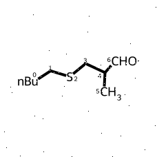 CCCCCSCC(C)[C]=O